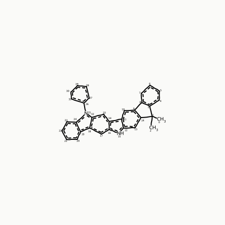 CC1(C)c2ccccc2-c2cc3c(cc21)[nH]c1cc2c4ccccc4n(-c4ccccc4)c2cc13